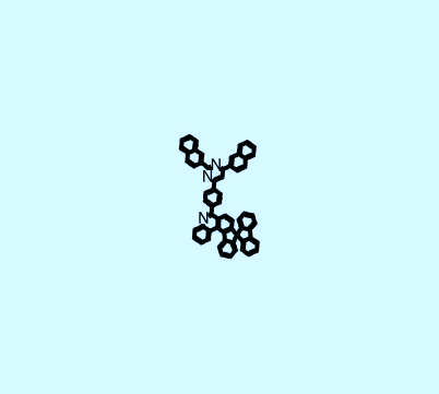 c1ccc2c(c1)-c1ccccc1C21c2ccccc2-c2c1ccc1c(-c3ccc(-c4cc(-c5ccc6ccccc6c5)nc(-c5ccc6ccccc6c5)n4)cc3)nc3ccccc3c21